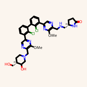 COc1nc(-c2cccc(-c3cccc(-c4cnc(CN5CC[C@@H](CO)C(O)C5)c(OC)n4)c3Cl)c2Cl)cnc1CNC[C@@H]1CCC(=O)N1